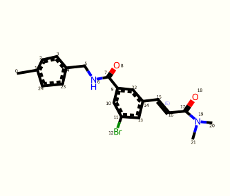 Cc1ccc(CNC(=O)c2cc(Br)cc(/C=C/C(=O)N(C)C)c2)cc1